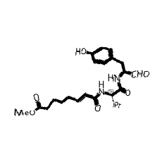 COC(=O)CCCCCCC(=O)N[C@H](C(=O)NC(C=O)Cc1ccc(O)cc1)C(C)C